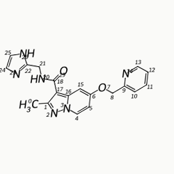 Cc1nn2ccc(OCc3ccccn3)cc2c1C(=O)NCc1ncc[nH]1